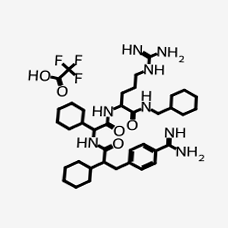 N=C(N)NCCCC(NC(=O)C(NC(=O)C(Cc1ccc(C(=N)N)cc1)C1CCCCC1)C1CCCCC1)C(=O)NCC1CCCCC1.O=C(O)C(F)(F)F